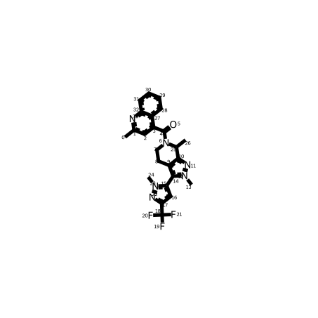 Cc1cc(C(=O)N2CCc3c(nn(C)c3-c3cc(C(F)(F)F)nn3C)C2C)c2ccccc2n1